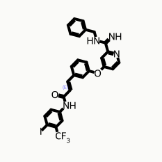 N=C(NCc1ccccc1)c1cc(Oc2cccc(/C=C/C(=O)Nc3ccc(I)c(C(F)(F)F)c3)c2)ccn1